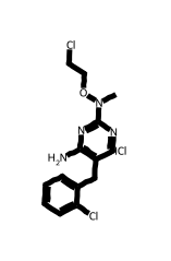 CN(OCCCl)c1ncc(Cc2ccccc2Cl)c(N)n1.Cl